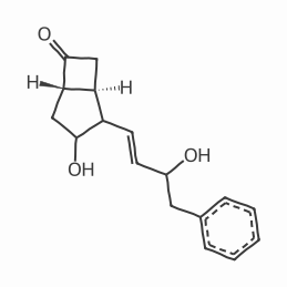 O=C1C[C@H]2C(C=CC(O)Cc3ccccc3)C(O)C[C@H]12